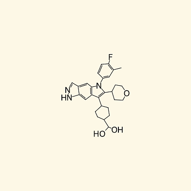 Cc1cc(-n2c(C3CCOCC3)c(C3CCC(C(O)O)CC3)c3cc4[nH]ncc4cc32)ccc1F